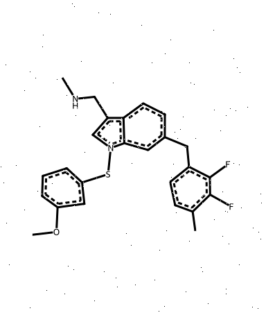 CNCc1cn(Sc2cccc(OC)c2)c2cc(Cc3ccc(C)c(F)c3F)ccc12